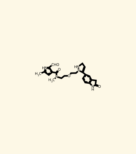 Cc1cc(C(=O)N(C)CCOCCN2NCC=C2c2ccc3c(c2)CC(=O)N3)c(C=O)[nH]1